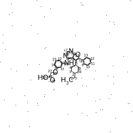 CCC1CC=C(c2c(-c3ccccc3)oc3ncnc(Nc4cccc(OCC(=O)O)c4)c23)CC1